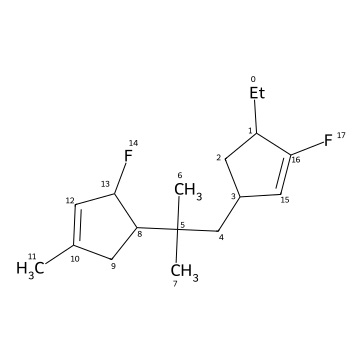 CCC1CC(CC(C)(C)C2CC(C)=CC2F)C=C1F